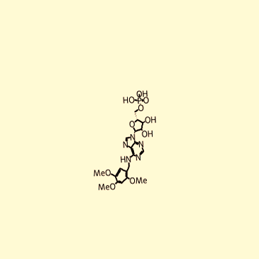 COc1cc(OC)c(OC)cc1CNc1ncnc2c1ncn2[C@@H]1O[C@H](COP(=O)(O)O)[C@@H](O)[C@H]1O